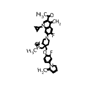 C=C1C(C(C)=O)=CN(C2CC2)c2cc(N3CCC(COc4ccc(N5CCCC5=C)cc4F)(C[PH](C)=O)CC3)c(F)cc21